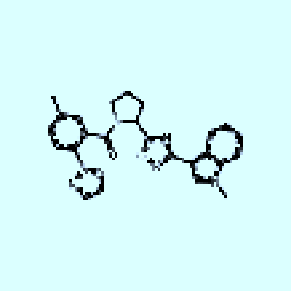 Cc1ccc(-n2nccn2)c(C(=O)N2CCCC2c2nc(-c3cn(C)c4ccccc34)no2)c1